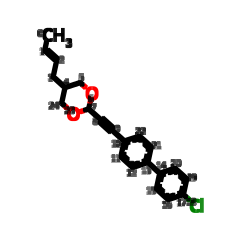 C/C=C/CC1COC(C#Cc2ccc(-c3ccc(Cl)cc3)cc2)OC1